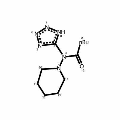 CCCCC(=O)N(c1nnn[nH]1)N1CCCCC1